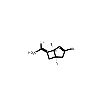 CCC(C)C1=C[C@@H]2C(=C(C(=O)O)C(C)(C)C)C[C@@H]2C1